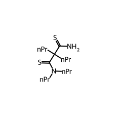 CCCN(CCC)C(=S)C(CCC)(CCC)C(N)=S